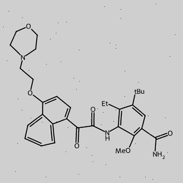 CCc1c(C(C)(C)C)cc(C(N)=O)c(OC)c1NC(=O)C(=O)c1ccc(OCCN2CCOCC2)c2ccccc12